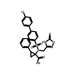 O=C(O)C1(N(Cc2noc(=O)[nH]2)S(=O)(=O)c2ccc(-c3ccc(Cl)cc3)cc2)CC1c1ccccc1